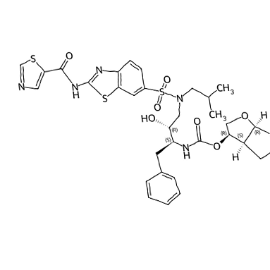 CC(C)CN(C[C@@H](O)[C@H](Cc1ccccc1)NC(=O)O[C@H]1CO[C@H]2OCC[C@H]21)S(=O)(=O)c1ccc2nc(NC(=O)c3cncs3)sc2c1